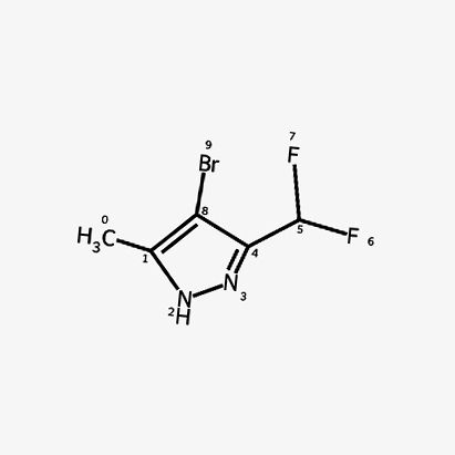 Cc1[nH]nc(C(F)F)c1Br